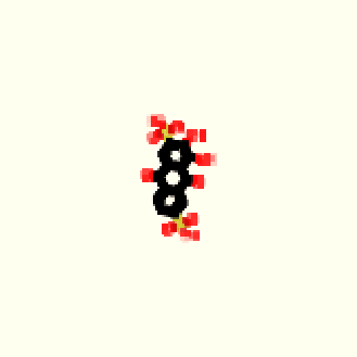 O=C1c2ccc(S(=O)(=O)O)cc2C(=O)c2c1cc(S(=O)(=O)O)c(O)c2O